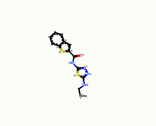 CCCCCCCCCCCNc1nnc(NC(=O)c2cc3ccccc3s2)s1